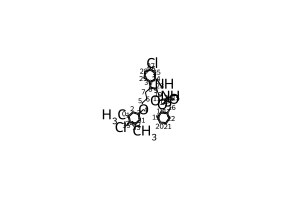 Cc1cc(OCCCc2c(C(=O)NS(=O)(=O)Cc3ccccc3)[nH]c3cc(Cl)ccc23)cc(C)c1Cl